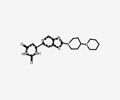 O=c1cc(-c2cc3sc(N4CCC(N5CCCCC5)CC4)nc3cn2)[nH]c(=O)[nH]1